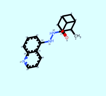 CC1CCC2CC1C2C(=O)NNc1cccc2ncccc12